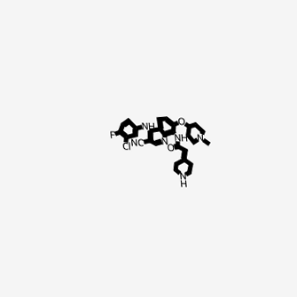 CN1CCC(Oc2ccc3c(Nc4ccc(F)c(Cl)c4)c(C#N)cnc3c2NC(=O)C=C2CCNCC2)CC1